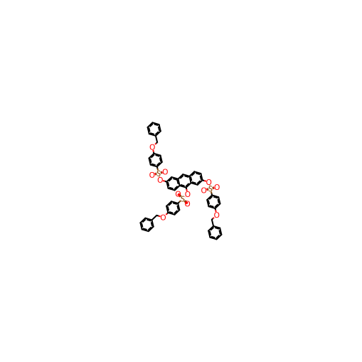 O=S(=O)(Oc1ccc2c(OS(=O)(=O)c3ccc(OCc4ccccc4)cc3)c3cc(OS(=O)(=O)c4ccc(OCc5ccccc5)cc4)ccc3cc2c1)c1ccc(OCc2ccccc2)cc1